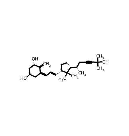 C=C1/C(=C\C=C\[C@@H]2CC[C@H]([C@@H](C)CC#CC(C)(C)O)C2(C)C)C[C@@H](O)C[C@@H]1O